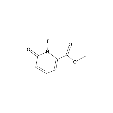 COC(=O)c1cccc(=O)n1F